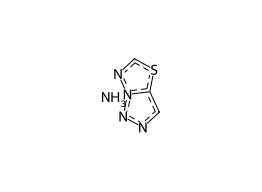 N.c1nn2nncc2s1